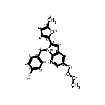 COOSc1cnc2c(c1)cc(-c1ccc(C)o1)n2Cc1ccc(F)cc1